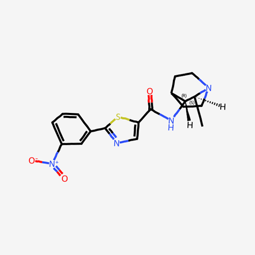 C[C@H]1[C@H](NC(=O)c2cnc(-c3cccc([N+](=O)[O-])c3)s2)C2CCN1CC2